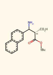 CC(C)(C)OC(=O)[C@@H](C(=O)O)C(N)c1ccc2ccccc2c1